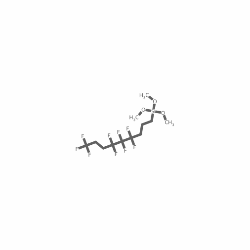 CO[Si](CCCC(F)(F)C(F)(F)C(F)(F)CCC(F)(F)F)(OC)OC